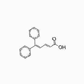 O=C(O)/C=C/C=C(c1ccccc1)c1ccccc1